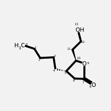 CCCCC[C@H]1CC(=O)O[C@@H]1CCO